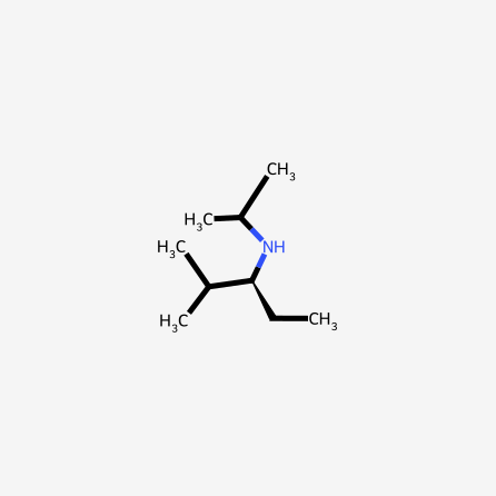 CC[C@H](NC(C)C)C(C)C